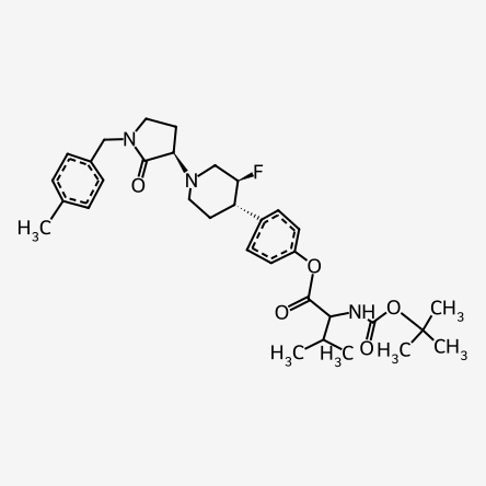 Cc1ccc(CN2CC[C@@H](N3CC[C@@H](c4ccc(OC(=O)C(NC(=O)OC(C)(C)C)C(C)C)cc4)[C@H](F)C3)C2=O)cc1